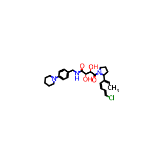 C\C=C(/C=C\C=C\Cl)C1CCCN1C(=O)[C@H](O)[C@@H](O)C(=O)NCc1ccc(N2CCCCC2)cc1